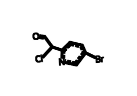 O=CC(Cl)c1ccc(Br)cn1